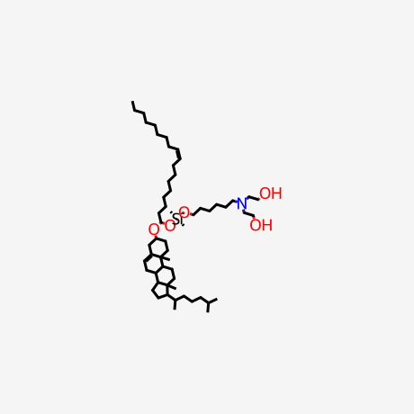 CCCCCCCC/C=C\CCCCCCCC(OC1CCC2(C)C(=CCC3C2CCC2(C)C(C(C)CCCC(C)C)CCC32)C1)O[Si](C)(C)OCCCCCCN(CCO)CCO